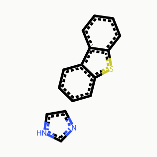 c1c[nH]cn1.c1ccc2c(c1)sc1ccccc12